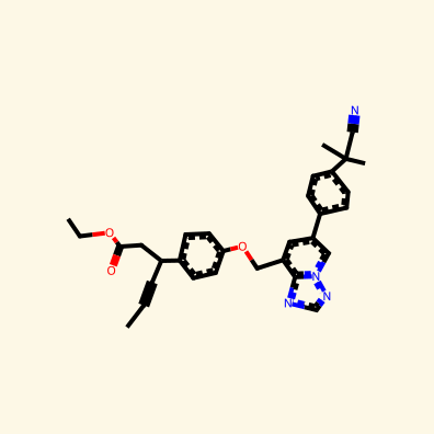 CC#CC(CC(=O)OCC)c1ccc(OCc2cc(-c3ccc(C(C)(C)C#N)cc3)cn3ncnc23)cc1